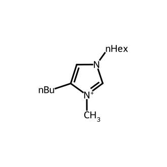 CCCCCCn1cc(CCCC)[n+](C)c1